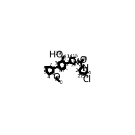 CCOc1ccccc1-c1ccc(C2CCN(C(=O)c3ccc(Cl)cn3)C2)c(CO)c1